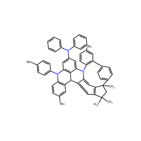 CC(C)(C)c1ccc(N2c3ccc(C(C)(C)C)cc3B3c4cc5c6cc4N(c4ccc(C(C)(C)C)cc4-c4ccc(cc4)C6(C)CC5(C)C)c4cc(N(c5ccccc5)c5ccccc5)cc2c43)cc1